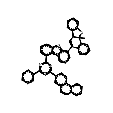 CC12Oc3ccccc3C1C=C(c1cccc3c1oc1cccc(-c4nc(-c5ccccc5)nc(-c5ccc6c(ccc7ccccc76)c5)n4)c13)c1ccccc12